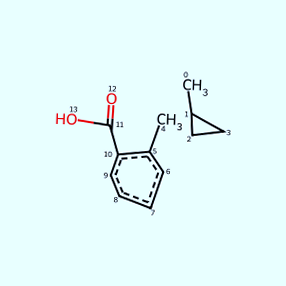 CC1CC1.Cc1ccccc1C(=O)O